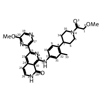 COCC(=O)N1CCC(c2ccc(Nc3nc(-c4cncc(OC)n4)cc4cc[nH]c(=O)c34)cc2C)CC1